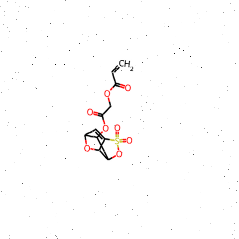 C=CC(=O)OCC(=O)OC1C2C=C3C(O2)C1OS3(=O)=O